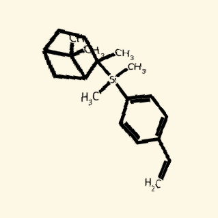 C=Cc1ccc([Si](C)(C)C2(C)CCC3CC2C3(C)C)cc1